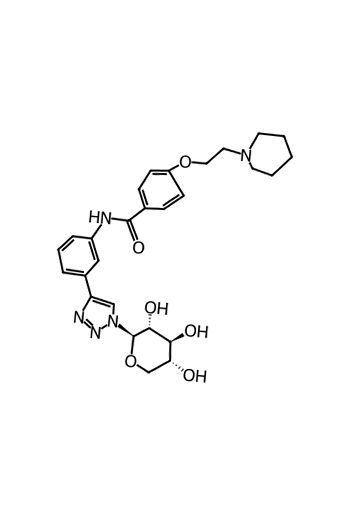 O=C(Nc1cccc(-c2cn([C@@H]3OC[C@@H](O)[C@H](O)[C@H]3O)nn2)c1)c1ccc(OCCN2CCCCC2)cc1